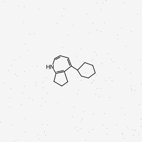 C1=CNC2=C(CCC2)C(C2CCCCC2)=C1